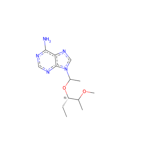 CC[C@H](OC(C)n1cnc2c(N)ncnc21)C(C)OC